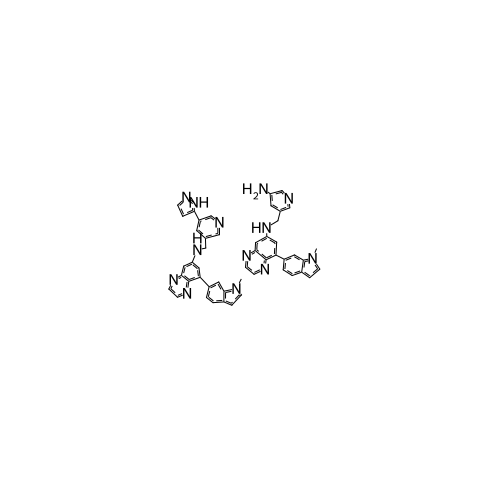 Cn1ccc2ccc(-c3cc(NCc4cncc(-c5ccn[nH]5)c4)cc4nccnc34)cc21.Cn1ccc2ccc(-c3cc(NCc4cncc(N)c4)cc4nccnc34)cc21